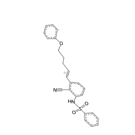 N#Cc1c(/C=C/CCCOc2[c]cccc2)cccc1NS(=O)(=O)c1ccccc1